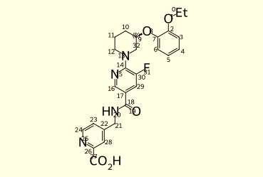 CCOc1ccccc1O[C@@H]1CCCN(c2ncc(C(=O)NCc3ccnc(C(=O)O)c3)cc2F)C1